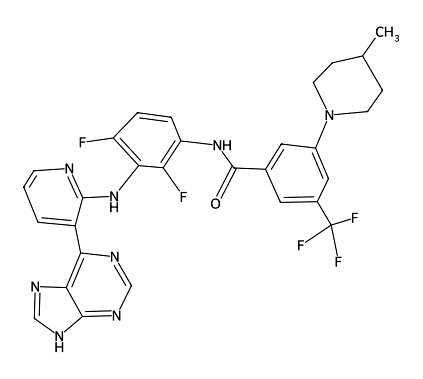 CC1CCN(c2cc(C(=O)Nc3ccc(F)c(Nc4ncccc4-c4ncnc5[nH]cnc45)c3F)cc(C(F)(F)F)c2)CC1